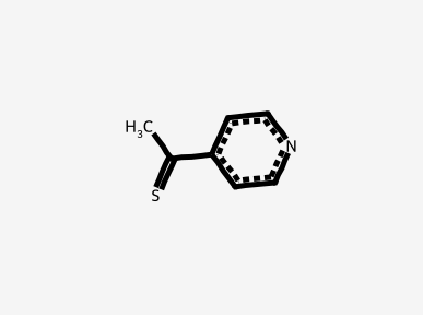 CC(=S)c1ccncc1